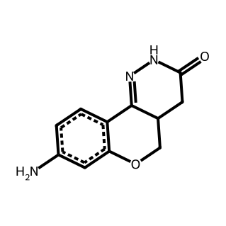 Nc1ccc2c(c1)OCC1CC(=O)NN=C21